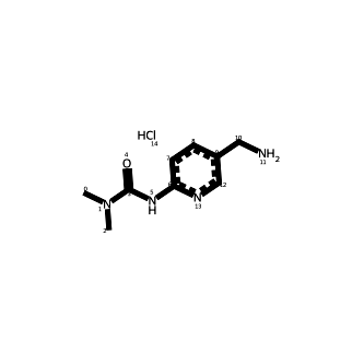 CN(C)C(=O)Nc1ccc(CN)cn1.Cl